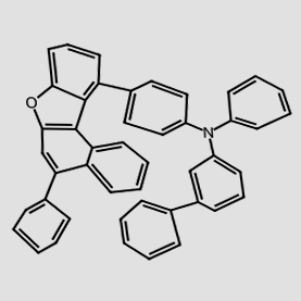 c1ccc(-c2cccc(N(c3ccccc3)c3ccc(-c4cccc5oc6cc(-c7ccccc7)c7ccccc7c6c45)cc3)c2)cc1